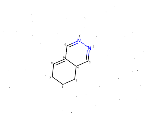 C1=NN=CC2CCCC=C12